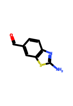 Nc1nc2ccc([C]=O)cc2s1